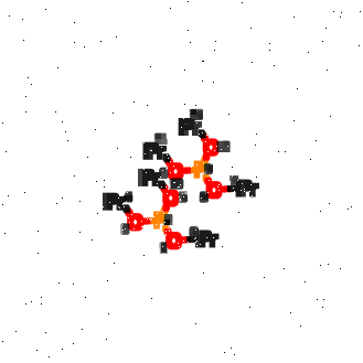 CC(C)OP(OC(C)C)OC(C)C.CC(C)OP(OC(C)C)OC(C)C